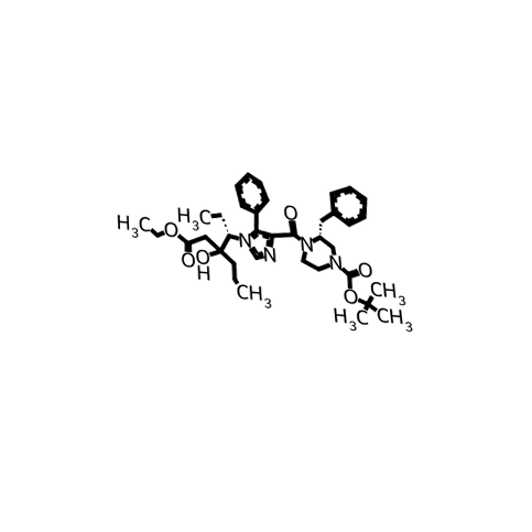 CCCC(O)(CC(=O)OCC)[C@H](CC)n1cnc(C(=O)N2CCN(C(=O)OC(C)(C)C)C[C@H]2Cc2ccccc2)c1-c1ccccc1